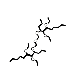 CCCCCC(OCC)=C(OCC)C(CCC)OCOCOC(CCC)C(OCC)=C(CCCCC)OCC